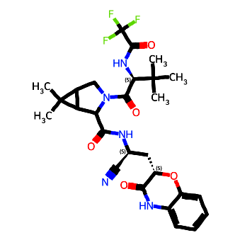 CC1(C)C2CN(C(=O)[C@@H](NC(=O)C(F)(F)F)C(C)(C)C)C(C(=O)N[C@H](C#N)C[C@@H]3Oc4ccccc4NC3=O)C21